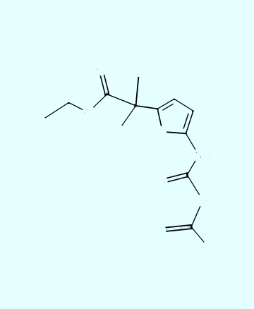 C=C(C)OC(=O)Nc1ccc(C(C)(C)C(=O)OCC)s1